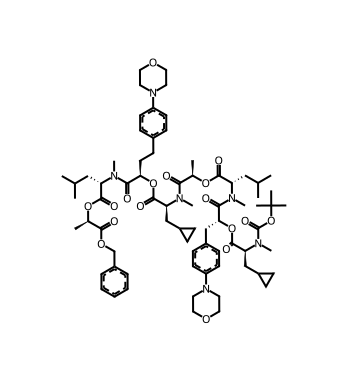 CC(C)C[C@@H](C(=O)O[C@H](C)C(=O)N(C)[C@@H](CC1CC1)C(=O)O[C@H](CCc1ccc(N2CCOCC2)cc1)C(=O)N(C)[C@@H](CC(C)C)C(=O)O[C@H](C)C(=O)OCc1ccccc1)N(C)C(=O)[C@@H](Cc1ccc(N2CCOCC2)cc1)OC(=O)[C@H](CC1CC1)N(C)C(=O)OC(C)(C)C